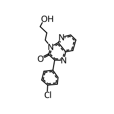 O=c1c(-c2ccc(Cl)cc2)nc2cccnc2n1CCCO